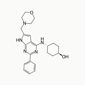 O[C@H]1CC[C@H](Nc2nc(-c3ccccc3)nc3[nH]c(CN4CCOCC4)cc23)CC1